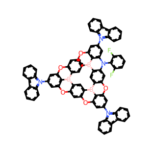 Fc1cccc(F)c1N1c2cc3c(cc2B2c4ccccc4Oc4cc(-n5c6ccccc6c6ccccc65)cc1c42)B1c2cc4c(cc2Oc2cc(-n5c6ccccc6c6ccccc65)cc(c21)O3)Oc1cc(-n2c3ccccc3c3ccccc32)cc2c1B4c1ccccc1O2